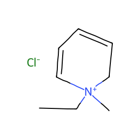 CC[N+]1(C)C=CC=CC1.[Cl-]